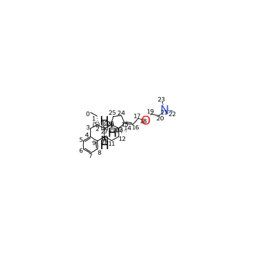 CC[C@H]1Cc2ccccc2[C@H]2CC[C@]3(C)C(=CCOCCN(C)C)CC[C@H]3[C@H]12